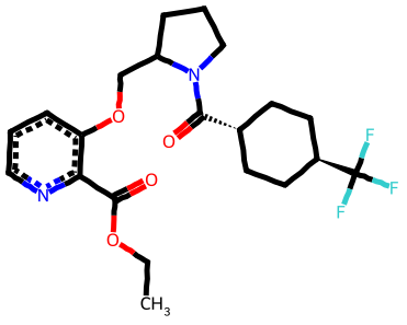 CCOC(=O)c1ncccc1OCC1CCCN1C(=O)[C@H]1CC[C@H](C(F)(F)F)CC1